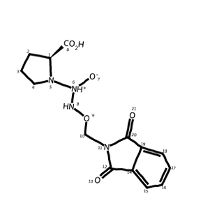 O=C(O)[C@@H]1CCCN1[NH+]([O-])NOCN1C(=O)c2ccccc2C1=O